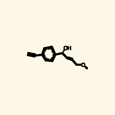 C#Cc1ccc([C@H](O)/C=C/COC)cc1